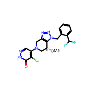 CO[C@@H]1CN(c2cn[nH]c(=O)c2Cl)Cc2nnn(Cc3ccccc3C(F)F)c21